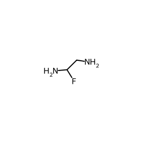 NCC(N)F